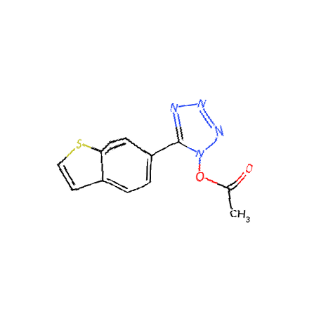 CC(=O)On1nnnc1-c1ccc2ccsc2c1